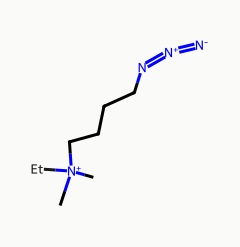 CC[N+](C)(C)CCCCN=[N+]=[N-]